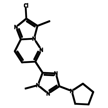 Cc1c(Cl)nc2ccc(-c3nc(N4CCCC4)nn3C)nn12